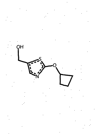 OCc1cnc(OC2CCC2)s1